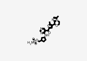 Cc1sc(C(=O)c2cncnc2N[C@H]2CCC(COS(N)(=O)=O)C2)cc1C1OCCn2c(C)cnc21